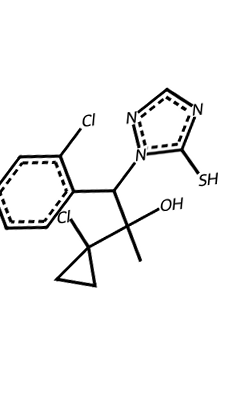 CC(O)(C(c1ccccc1Cl)n1ncnc1S)C1(Cl)CC1